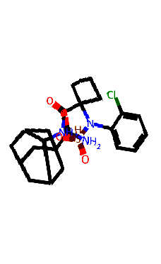 NC(=O)C12CC3CC(C1)C(NC(=O)C1(N(c4ccccc4Cl)[SH](=O)=O)CCC1)C(C3)C2